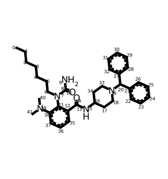 CCCCCCCN(C(N)=O)c1c(C(=O)NC2CCN(C(c3ccccc3)c3ccccc3)CC2)cccc1N(C)C